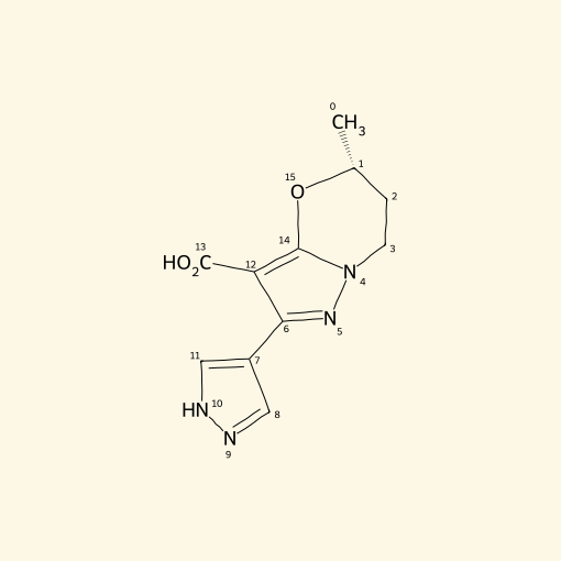 C[C@@H]1CCn2nc(-c3cn[nH]c3)c(C(=O)O)c2O1